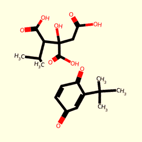 CC(C)(C)C1=CC(=O)C=CC1=O.CC(C)C(C(=O)O)C(O)(CC(=O)O)C(=O)O